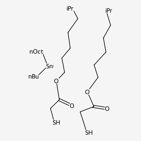 CC(C)CCCCCOC(=O)CS.CC(C)CCCCCOC(=O)CS.CCCCCCC[CH2][Sn][CH2]CCC